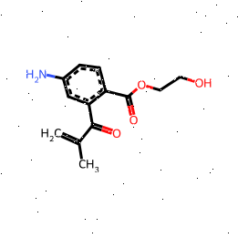 C=C(C)C(=O)c1cc(N)ccc1C(=O)OCCO